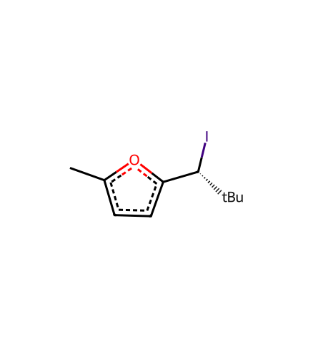 Cc1ccc([C@H](I)C(C)(C)C)o1